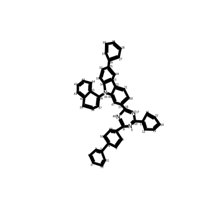 c1ccc(-c2ccc(-c3nc(-c4ccccc4)nc(-c4ccc5c6cc(-c7ccccc7)ccc6n(-c6cccc7ccccc67)c5c4)n3)cc2)cc1